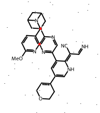 COc1ccc(CN2C3CC2CN(c2cnc(C4=CC(C5=CCOCC5)=CN/C4=C(/C#N)C=N)cn2)C3)cn1